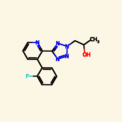 CC(O)Cn1nnc(-c2ncccc2-c2ccccc2F)n1